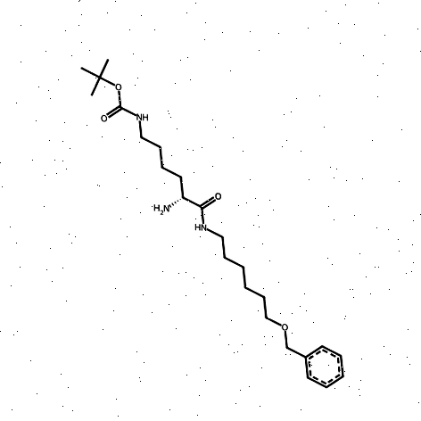 CC(C)(C)OC(=O)NCCCC[C@@H](N)C(=O)NCCCCCCOCc1ccccc1